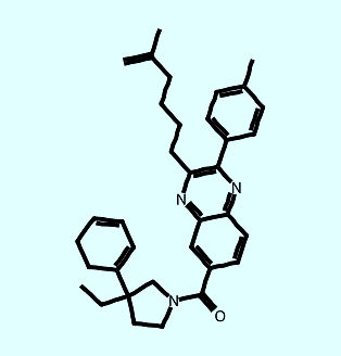 C=C(C)CCCCc1nc2cc(C(=O)N3CCC(CC)(C4=CC=CCC4)C3)ccc2nc1-c1ccc(C)cc1